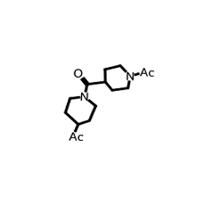 CC(=O)C1CCN(C(=O)C2CCN(C(C)=O)CC2)CC1